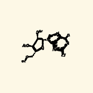 CCOC[C@H]1O[C@@H](n2cnc3c(Cl)nc(Cl)nc32)[C@H](OC(C)=O)[C@@H]1OC(C)=O